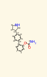 NC(=O)Oc1ccccc1-c1ccc(C2CCNC2)cc1